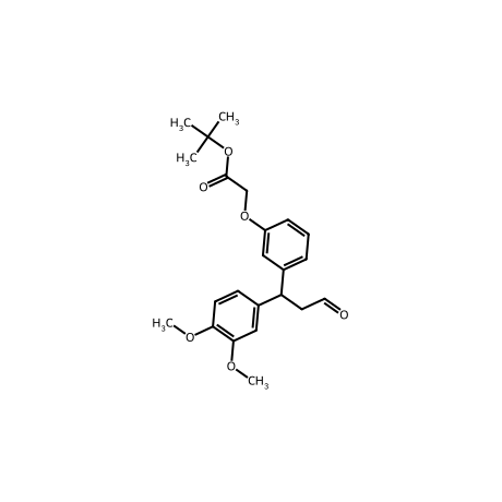 COc1ccc(C(CC=O)c2cccc(OCC(=O)OC(C)(C)C)c2)cc1OC